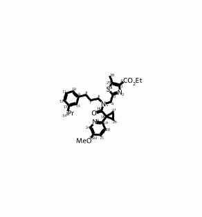 CCOC(=O)c1nc(CN(CCCc2cccc(C(C)C)c2)C(=O)C2(c3ccc(OC)cn3)CC2)sc1C